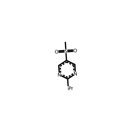 CC(C)c1ncc(S(C)(=O)=O)cn1